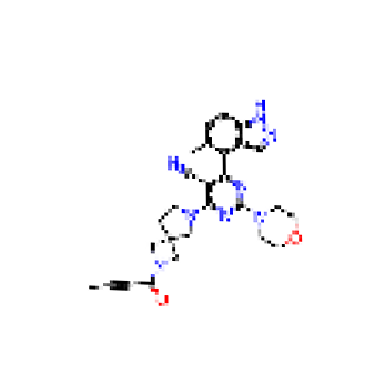 CC#CC(=O)N1CC2(CCN(c3nc(N4CCOCC4)nc(-c4c(C)ccc5[nH]ncc45)c3C#N)C2)C1